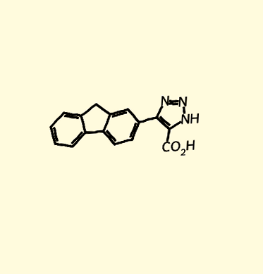 O=C(O)c1[nH]nnc1-c1ccc2c(c1)Cc1ccccc1-2